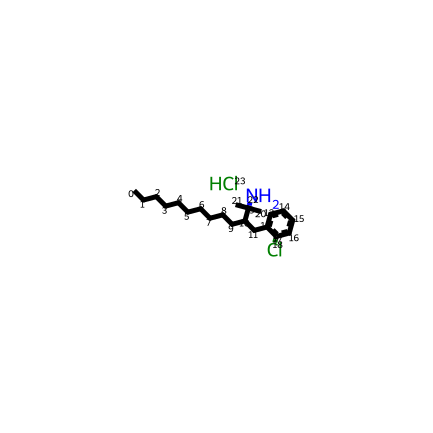 CCCCCCCCCCC(Cc1ccccc1Cl)C(C)(C)N.Cl